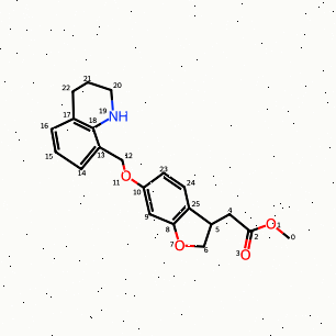 COC(=O)CC1COc2cc(OCc3cccc4c3NCCC4)ccc21